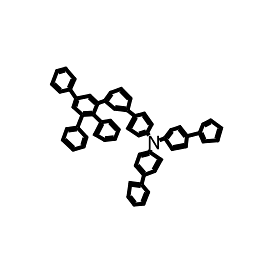 c1ccc(-c2ccc(N(c3ccc(-c4ccccc4)cc3)c3ccc(-c4cccc(-c5cc(-c6ccccc6)cc(-c6ccccc6)c5-c5ccccc5)c4)cc3)cc2)cc1